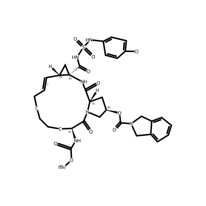 CC(C)(C)OC(=O)N[C@H]1CCCCC/C=C/[C@@H]2C[C@@]2(C(=O)NS(=O)(=O)Nc2ccc(Cl)cc2)NC(=O)[C@@H]2C[C@@H](OC(=O)N3Cc4ccccc4C3)CN2C1=O